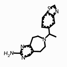 CC(c1ccc2scnc2c1)N1CCc2cnc(N)nc2CC1